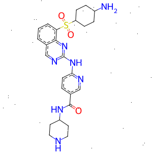 NC1CCC(S(=O)(=O)c2cccc3cnc(Nc4ccc(C(=O)NC5CCNCC5)cn4)nc23)CC1